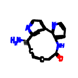 N[C@H]1CCCCC(=O)Nc2cccnc2-c2ccnc1c2